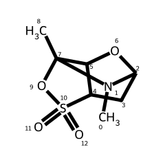 CN1C2CC3C(O2)C1(C)OS3(=O)=O